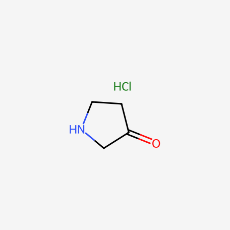 Cl.O=C1CCNC1